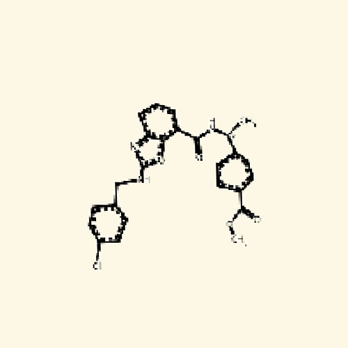 COC(=O)c1ccc([C@H](C)NC(=O)c2cccc3nc(NCc4ccc(Cl)cc4)oc23)cc1